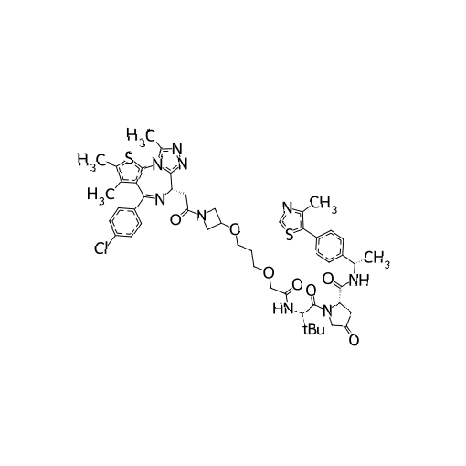 Cc1ncsc1-c1ccc([C@H](C)NC(=O)[C@@H]2CC(=O)CN2C(=O)C(NC(=O)COCCCOC2CN(C(=O)C[C@@H]3N=C(c4ccc(Cl)cc4)c4c(sc(C)c4C)-n4c(C)nnc43)C2)C(C)(C)C)cc1